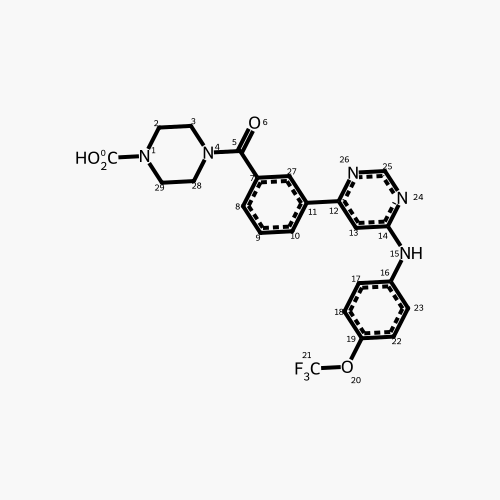 O=C(O)N1CCN(C(=O)c2cccc(-c3cc(Nc4ccc(OC(F)(F)F)cc4)ncn3)c2)CC1